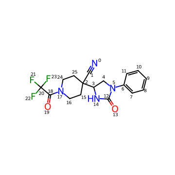 N#CC1(C2CN(c3ccccc3)C(=O)N2)CCN(C(=O)C(F)(F)F)CC1